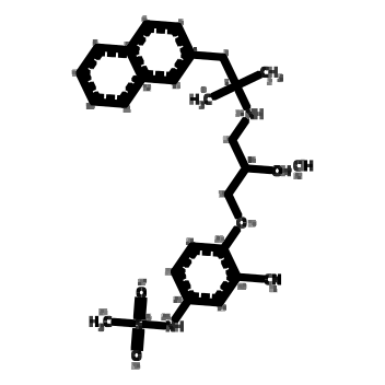 CC(C)(Cc1ccc2ccccc2c1)NCC(O)COc1ccc(NS(C)(=O)=O)cc1C#N.Cl